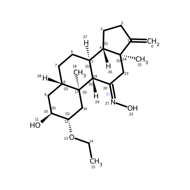 C=C1CC[C@H]2[C@@H]3CC[C@H]4C[C@H](O)[C@@H](OCC)C[C@]4(C)[C@H]3/C(=N/O)C[C@]12C